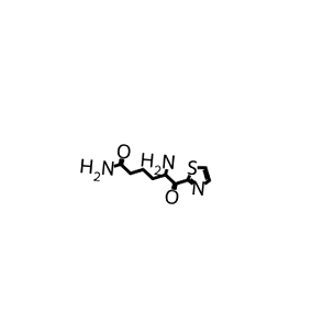 NC(=O)CCCC(N)C(=O)c1nccs1